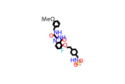 COc1cccc(CNC(=O)c2nc3ccc(F)c(OCCC4CCC(CNS(C)(=O)=O)CC4)c3c(=O)[nH]2)c1